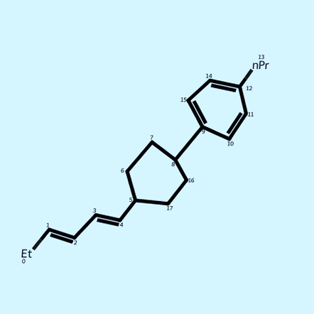 CC/C=C/C=C/C1CCC(c2ccc(CCC)cc2)CC1